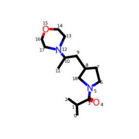 CC(C)C(=O)N1CCC(CC(C)N2CCOCC2)C1